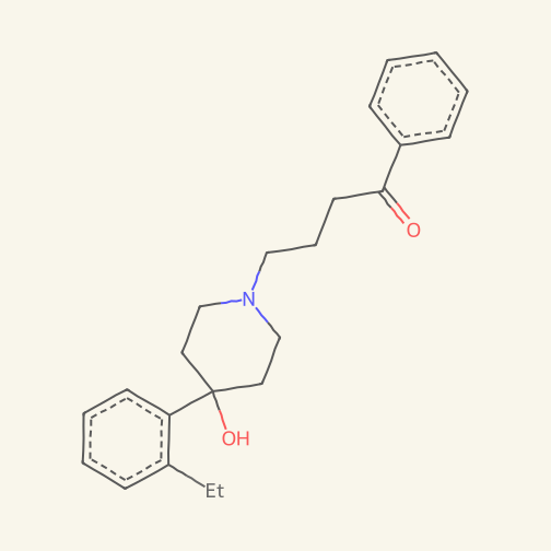 CCc1ccccc1C1(O)CCN(CCCC(=O)c2ccccc2)CC1